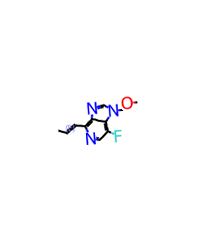 C/C=C/c1ncc(F)c2c1ncn2COC